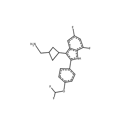 NCC1CC(c2c(-c3ccc(OC(F)F)cc3)[nH]c3c(F)cc(F)cc23)C1